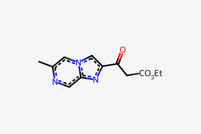 CCOC(=O)CC(=O)c1cn2cc(C)ncc2n1